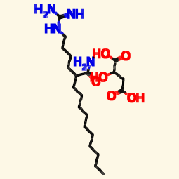 CCCCCCCCCCC(CCCCNC(=N)N)C(N)=O.O=C(O)CC(O)C(=O)O